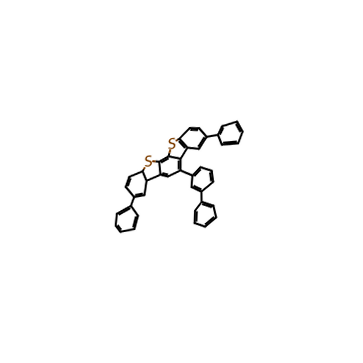 C1=CC2Sc3c(cc(-c4cccc(-c5ccccc5)c4)c4c3sc3ccc(-c5ccccc5)cc34)C2C=C1c1ccccc1